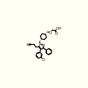 N#CCCc1c(-c2cccc(Cl)c2)c(-c2ccccc2)nn1C[C@H]1CC[C@@H](COCC(=O)O)CC1